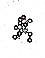 c1ccc(-c2cccc(-c3nc(-c4ccc5c(c4)c4ccccc4n5-c4ccccc4)nc(-c4cc5oc6ccccc6c5cc4C4CCc5cc6ccccc6cc5-c5ccccc54)n3)c2)cc1